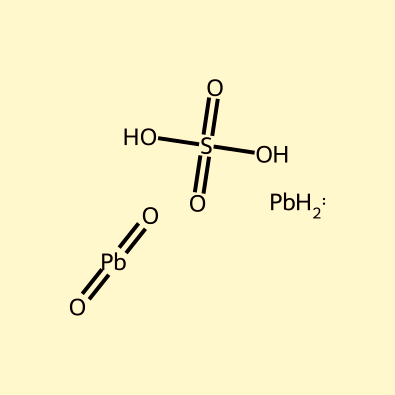 O=S(=O)(O)O.[O]=[Pb]=[O].[PbH2]